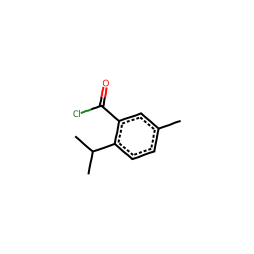 Cc1ccc(C(C)C)c(C(=O)Cl)c1